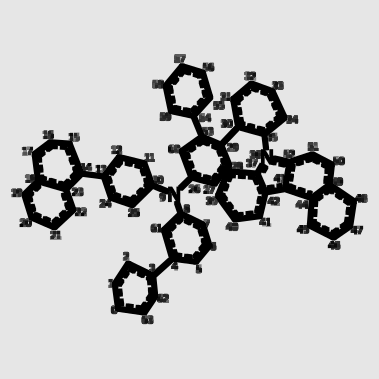 c1ccc(-c2cccc(N(c3ccc(-c4cccc5ccccc45)cc3)c3ccc(-c4ccccc4-n4c5ccccc5c5c6ccccc6ccc54)c(-c4ccccc4)c3)c2)cc1